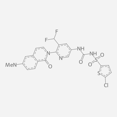 CNc1ccc2c(=O)n(-c3ncc(NC(=O)NS(=O)(=O)c4ccc(Cl)s4)cc3C(F)F)ccc2c1